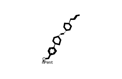 CC=CC[C@H]1CC[C@H](CC[C@H]2CC[C@H](c3ccc(COCCCCC)cc3)CC2)CC1